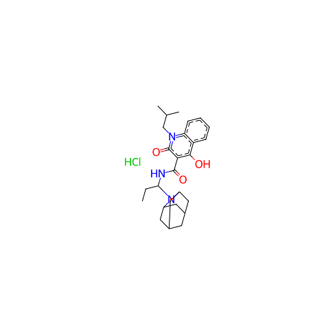 CCC(NC(=O)c1c(O)c2ccccc2n(CC(C)C)c1=O)N1C2CC3CC(C2)CC1C3.Cl